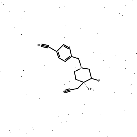 C#Cc1ccc(CN2CC[C@](C)(CC#N)C(F)C2)cc1